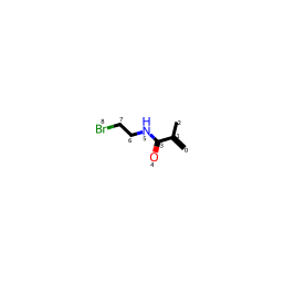 C=C(C)C(=O)NCCBr